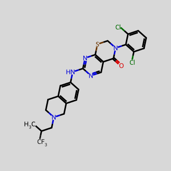 CC(CN1CCc2cc(Nc3ncc4c(n3)SCN(c3c(Cl)cccc3Cl)C4=O)ccc2C1)C(F)(F)F